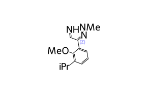 CN/N=C(\C=N)c1cccc(C(C)C)c1OC